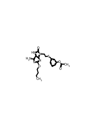 CCCCOc1nc(N)c2[nH]c(=O)n(CCSc3cccc(OC(C)=O)c3)c2n1